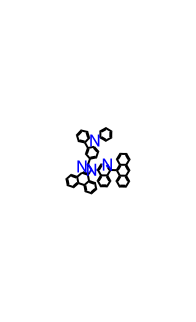 c1ccc(-n2c3ccccc3c3cc(-c4nc5c6ccccc6c6ccccc6c5n4-c4cnc(-c5c6ccccc6cc6ccccc56)c5ccccc45)ccc32)cc1